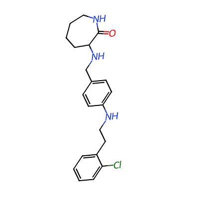 O=C1NCCCCC1NCc1ccc(NCCc2ccccc2Cl)cc1